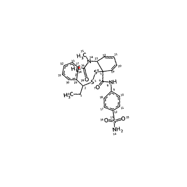 CCC(SSC1(C(=O)Nc2ccc(S(N)(=O)=O)cc2)C=CC=CC1N(C)C(C)=O)c1ccccc1